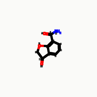 NC(=O)c1cccc2c1OCC2=O